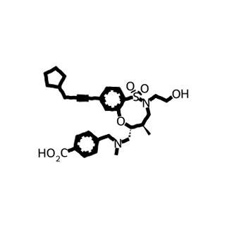 C[C@@H]1CN(CCO)S(=O)(=O)c2ccc(C#CCC3CCCC3)cc2O[C@H]1CN(C)Cc1ccc(C(=O)O)cc1